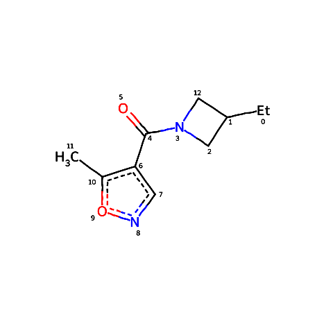 CCC1CN(C(=O)c2cnoc2C)C1